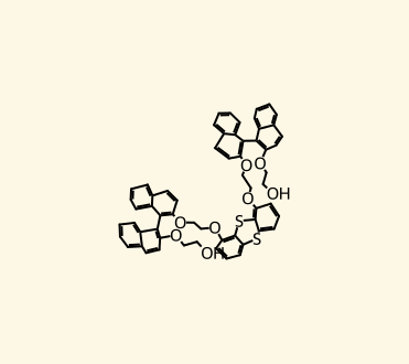 OCCOc1ccc2ccccc2c1-c1c(OCCOc2cccc3c2Sc2c(OCCOc4ccc5ccccc5c4-c4c(OCCO)ccc5ccccc45)cccc2S3)ccc2ccccc12